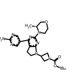 C[C@H]1COCCN1c1nc(-c2cnc(N)nc2)c2c(n1)N(C1CN(C(=O)OC(C)(C)C)C1)CC2